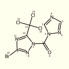 O=C(n1cncn1)n1nc(Br)nc1C(Cl)(Cl)Cl